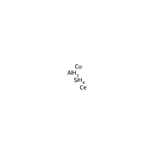 [AlH3].[Ce].[Cu].[SiH4]